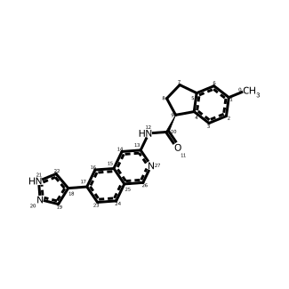 Cc1ccc2c(c1)CC[C@@H]2C(=O)Nc1cc2cc(-c3cn[nH]c3)ccc2cn1